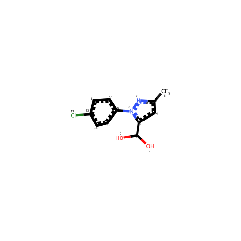 OC(O)c1cc(C(F)(F)F)nn1-c1ccc(Cl)cc1